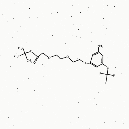 CC(C)(C)OC(=O)COCCOCCOc1cc(N)cc(OC(F)(F)F)c1